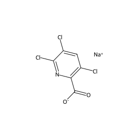 O=C([O-])c1nc(Cl)c(Cl)cc1Cl.[Na+]